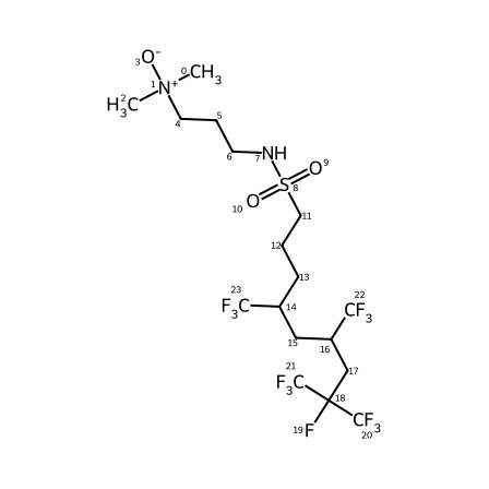 C[N+](C)([O-])CCCNS(=O)(=O)CCCC(CC(CC(F)(C(F)(F)F)C(F)(F)F)C(F)(F)F)C(F)(F)F